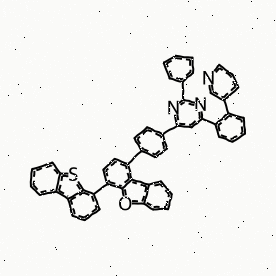 c1ccc(-c2nc(-c3ccc(-c4ccc(-c5cccc6c5sc5ccccc56)c5oc6ccccc6c45)cc3)cc(-c3ccccc3-c3cccnc3)n2)cc1